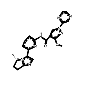 COc1nn(-c2cnccn2)cc1C(=O)Nc1cccc(-c2cnc3n2[C@@H](C)CC3)n1